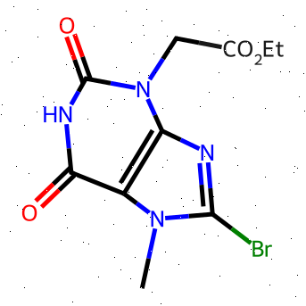 CCOC(=O)Cn1c(=O)[nH]c(=O)c2c1nc(Br)n2C